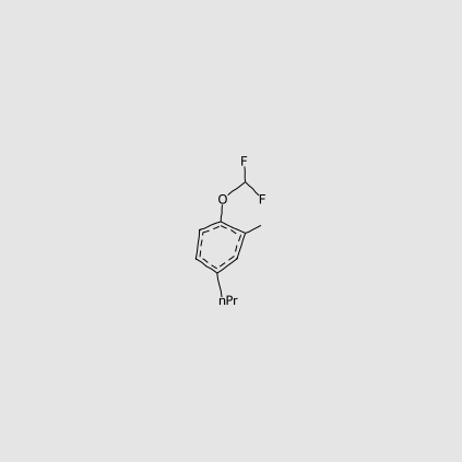 [CH2]CCc1ccc(OC(F)F)c(C)c1